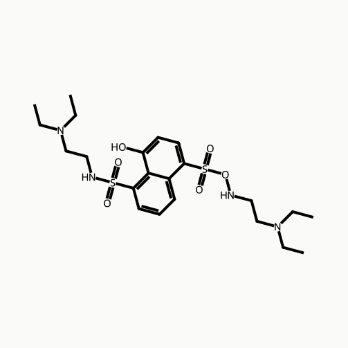 CCN(CC)CCNOS(=O)(=O)c1ccc(O)c2c(S(=O)(=O)NCCN(CC)CC)cccc12